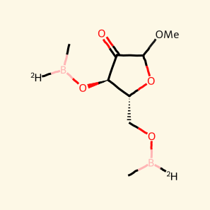 [2H]B(C)OC[C@H]1OC(OC)C(=O)[C@@H]1OB([2H])C